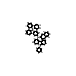 c1ccc(-n2c3ccccc3c3c(N(c4ccc([Si](c5ccccc5)(c5ccccc5)c5ccccc5)cc4)c4ccc5ccccc5c4)cccc32)cc1